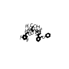 CC(C)C(NC(=O)Cc1cc(F)cc(F)c1)C(=O)Nc1ncc(-c2ccccc2COC2CCCCC2)s1